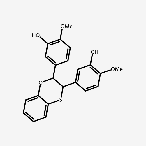 COc1ccc(C2Oc3ccccc3SC2c2ccc(OC)c(O)c2)cc1O